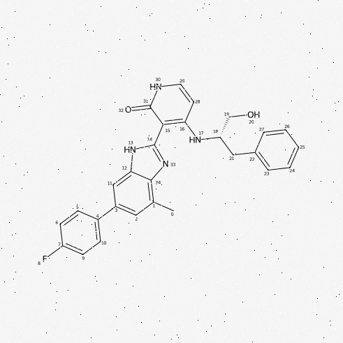 Cc1cc(-c2ccc(F)cc2)cc2[nH]c(-c3c(N[C@H](CO)Cc4ccccc4)cc[nH]c3=O)nc12